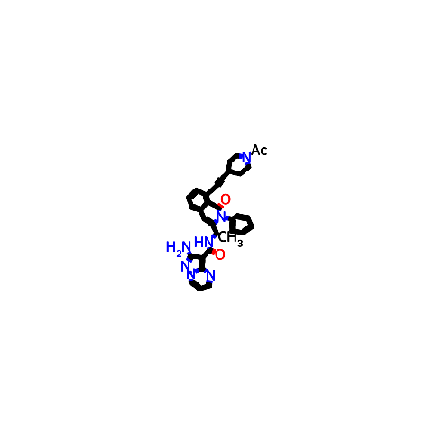 CC(=O)N1CCC(C#Cc2cccc3cc([C@@H](C)NC(=O)c4c(N)nn5cccnc45)n(-c4ccccc4)c(=O)c23)CC1